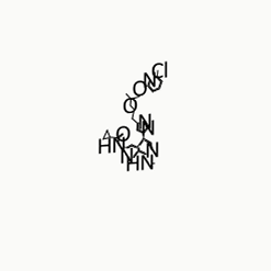 CNc1ncc(-c2cc(CCOC(C)COc3cccc(Cl)n3)n(C)n2)c2cc(NC(=O)C3CC3)ncc12